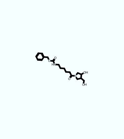 O=C(NCCCCCC(=O)N1CC(O)C(CO)C1)OCc1ccccc1